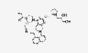 C=CC(=O)N1CCN(c2nc(OC[C@@H]3CCCN3CC(O)CO)nc3c2CCN(c2cccc4cccc(C=C)c24)C3)C[C@@H]1CC#N